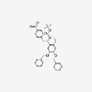 CC(C)(C)OC(=O)N1CCc2cc(OCc3ccccc3)c(OCc3ccccc3)cc2C1Cc1ccc([N+](=O)[O-])cc1